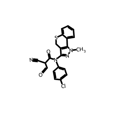 Cn1nc(N(C(=O)C(C#N)C=O)c2ccc(Cl)cc2)c2c1-c1ccccc1SC2